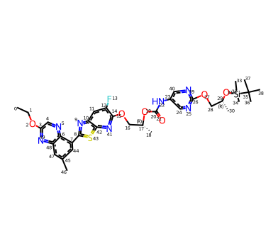 CCOc1cnc2c(-c3nc4cc(F)c(OC[C@@H](C)OC(=O)Nc5cnc(OC[C@@H](C)O[Si](C)(C)C(C)(C)C)nc5)nc4s3)cc(C)cc2n1